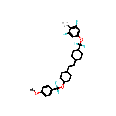 CCOc1ccc(C(F)(F)OC2CCC(CCC3CCC(C(F)(F)Oc4cc(F)c(C(F)(F)F)c(F)c4)CC3)CC2)cc1